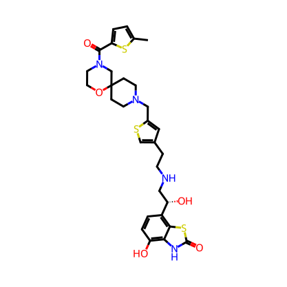 Cc1ccc(C(=O)N2CCOC3(CCN(Cc4cc(CCNC[C@H](O)c5ccc(O)c6[nH]c(=O)sc56)cs4)CC3)C2)s1